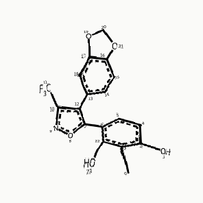 Cc1c(O)ccc(-c2onc(C(F)(F)F)c2-c2ccc3c(c2)OCO3)c1O